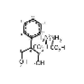 NC(=O)O.NC(=O)O.OCC(CO)c1ccccc1